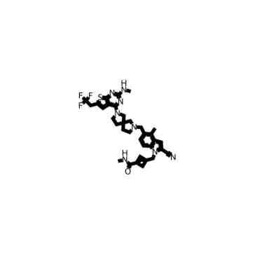 CNC(=O)C12CC(Cn3c(C#N)cc4c(C)c(CN5CCC6(CCN(c7nc(NC)nc8sc(CC(F)(F)F)cc78)C6)C5)ccc43)(C1)C2